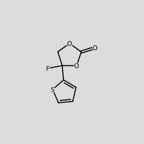 O=C1OCC(F)(c2cccs2)O1